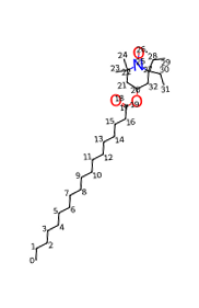 CCCCCCCCCCCCCCCCCC(=O)OC1CC(C)(C)N([O])C(CC)(CC)C1